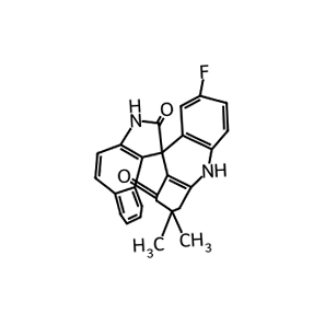 CC1(C)CC(=O)C2=C(C1)Nc1ccc(F)cc1C21C(=O)Nc2ccc3ccccc3c21